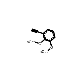 C#Cc1cccc(OCCCCCCCC)c1OCCCCCCCC